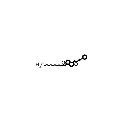 CCCCCCCCCCc1cc2c(ccc3c4cc(C#Cc5ccccc5)oc4ccc23)o1